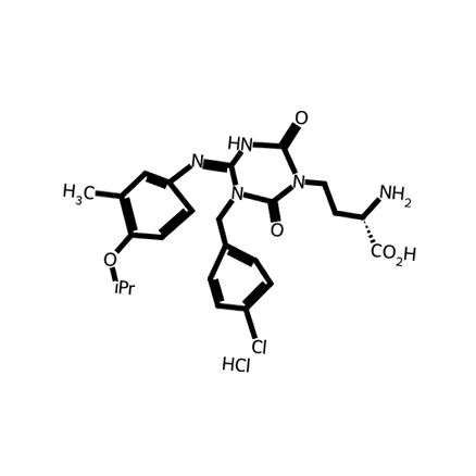 Cc1cc(/N=c2/[nH]c(=O)n(CC[C@H](N)C(=O)O)c(=O)n2Cc2ccc(Cl)cc2)ccc1OC(C)C.Cl